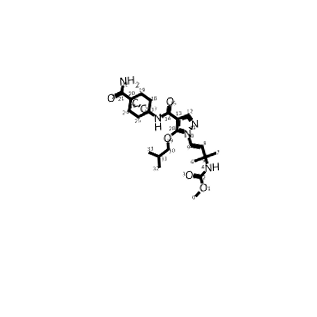 COC(=O)NC(C)(C)/C=C/n1ncc(C(=O)NC23CCC(C(N)=O)(CC2)CC3)c1OCC(C)C